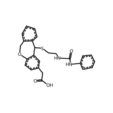 O=C(O)Cc1ccc2c(c1)C(SCCNC(=O)Nc1ccccc1)c1ccccc1CO2